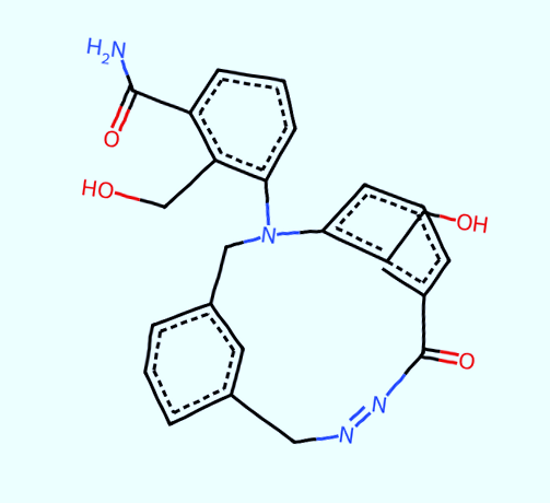 NC(=O)c1cccc(N2Cc3cccc(c3)CN=NC(=O)c3cccc2c3CO)c1CO